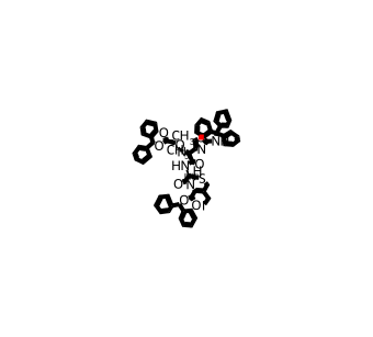 CC(C)(ON=C(C(=O)N[C@@H]1C(=O)N2C(C(=O)OC(c3ccccc3)c3ccccc3)=C(CI)CS[C@@H]12)c1csc(NC(c2ccccc2)(c2ccccc2)c2ccccc2)n1)C(=O)OC(c1ccccc1)c1ccccc1